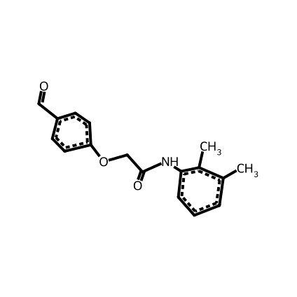 Cc1cccc(NC(=O)COc2ccc(C=O)cc2)c1C